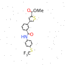 COC(=O)c1cc(-c2cccc(C(=O)Nc3ccc(SC(F)(F)F)cc3)c2)cs1